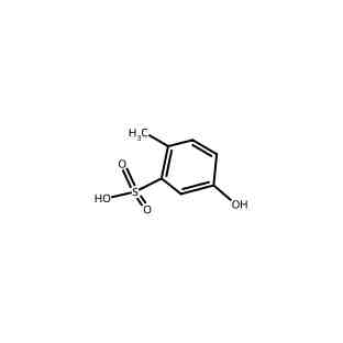 Cc1ccc(O)cc1S(=O)(=O)O